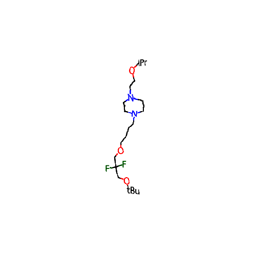 CC(C)OCCN1CCN(CCCCOCC(F)(F)COC(C)(C)C)CC1